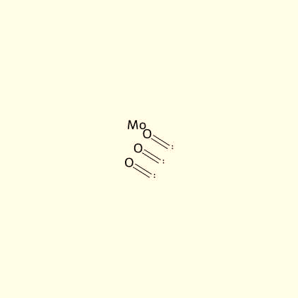 [C]=O.[C]=O.[C]=O.[Mo]